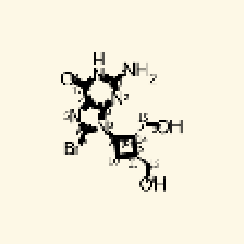 Nc1nc2c(nc(Br)n2C2C[C@H](CO)[C@H]2CO)c(=O)[nH]1